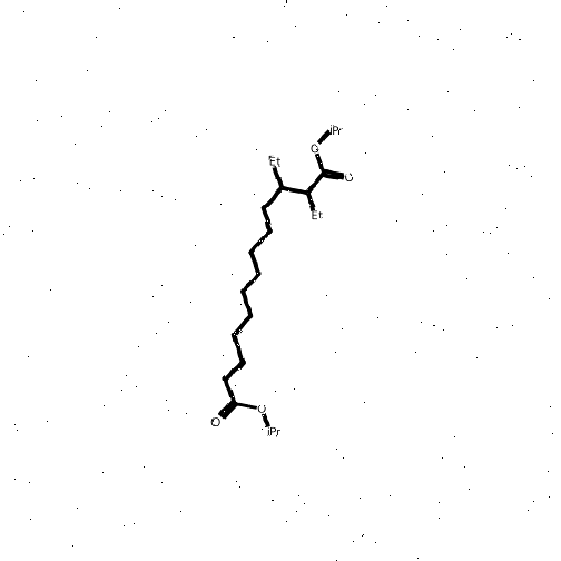 CCC(CCCCCCCCCC(=O)OC(C)C)C(CC)C(=O)OC(C)C